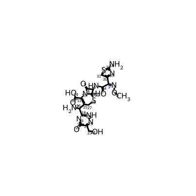 CO/N=C(\C(=O)NC1C(=O)N2C(C(=O)O)=C(C(N)c3nc(=O)c(CO)n[nH]3)CS[C@H]12)c1csc(N)n1